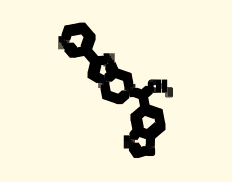 CC(c1ccc2scnc2c1)N1CCn2cc(-c3cccnc3)nc2C1